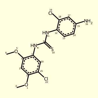 COc1cc(OC)c(NC(=S)Nc2ccc(N)cc2Cl)cc1Cl